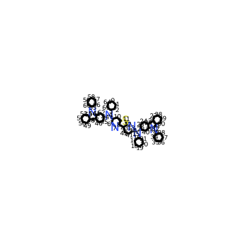 c1ccc(N(c2cnc3c(c2)sc2nc(N(c4ccccc4)c4ccc5c6ccccc6n(-c6ccccc6)c5c4)ccc23)c2ccc3c4ccccc4n(-c4ccccc4)c3c2)cc1